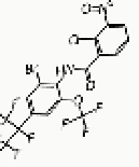 O=C(Nc1c(Br)cc(C(F)(C(F)(F)F)C(F)(F)F)cc1OC(F)(F)F)c1cccc([N+](=O)[O-])c1Cl